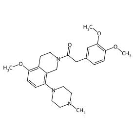 COc1ccc(CC(=O)N2CCc3c(OC)ccc(N4CCN(C)CC4)c3C2)cc1OC